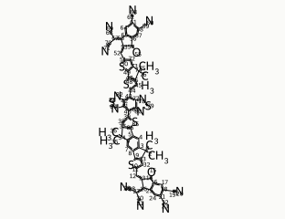 CC1(C)c2cc3c(cc2-c2sc(/C=C4\C(=O)c5cc(C#N)c(C#N)cc5C4=C(C#N)C#N)cc21)C(C)(C)c1cc(-c2c4c(c(-c5cc6c(s5)-c5sc(/C=C7\C(=O)c8cc(C#N)c(C#N)cc8C7=C(C#N)C#N)cc5C6(C)C)c5nsnc25)N=S=N4)sc1-3